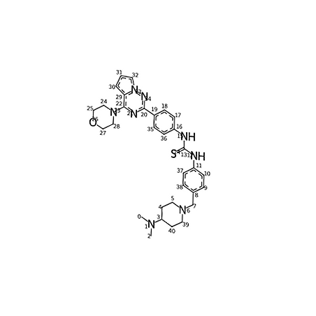 CN(C)C1CCN(Cc2ccc(NC(=S)Nc3ccc(-c4nc(N5CCOCC5)c5cccn5n4)cc3)cc2)CC1